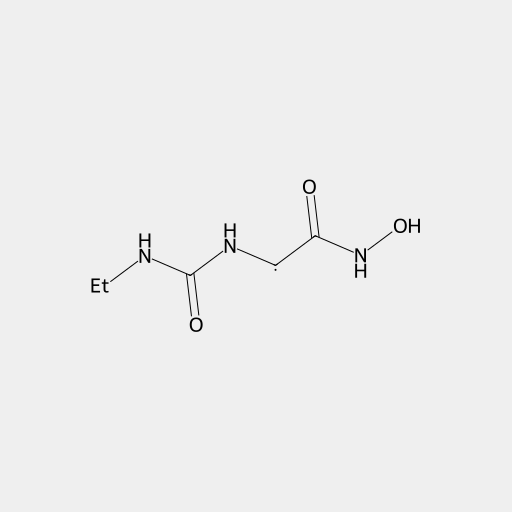 CCNC(=O)N[CH]C(=O)NO